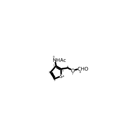 CC(=O)Nc1ccsc1COC=O